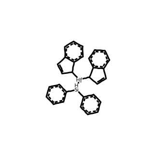 C1=C[CH]([Hf]([CH]2C=Cc3ccccc32)[SiH](c2ccccc2)c2ccccc2)c2ccccc21